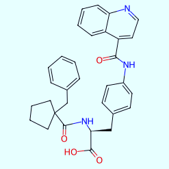 O=C(Nc1ccc(C[C@H](NC(=O)C2(Cc3ccccc3)CCCC2)C(=O)O)cc1)c1ccnc2ccccc12